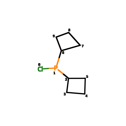 ClP(C1CCC1)C1CCC1